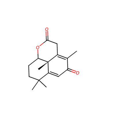 CC1=C2CC(=O)OC3CCC(C)(C)C(=CC1=O)[C@@]23C